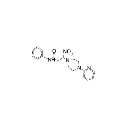 O=C(CC(N1CCN(c2ccccn2)CC1)[N+](=O)[O-])Nc1ccccc1